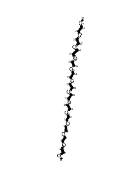 COCCOCCOCCOCCOCCOCCOCCOCCOCCOCCOCCOCCOC